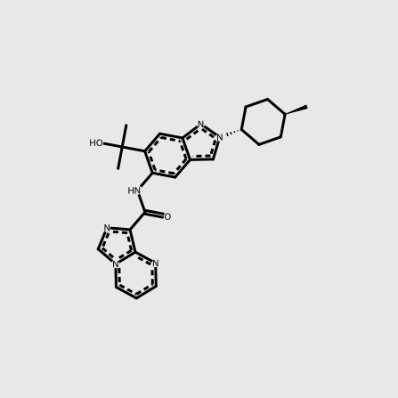 CC(C)(O)c1cc2nn([C@H]3CC[C@H](C)CC3)cc2cc1NC(=O)c1ncn2cccnc12